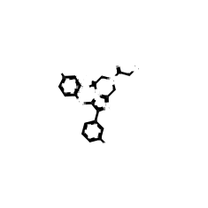 CC1(C)CN(C(=O)CN)Cc2nc(-c3cccc(F)c3)c(Nc3ccc(F)cc3)n21